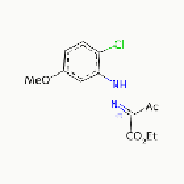 CCOC(=O)/C(=N/Nc1cc(OC)ccc1Cl)C(C)=O